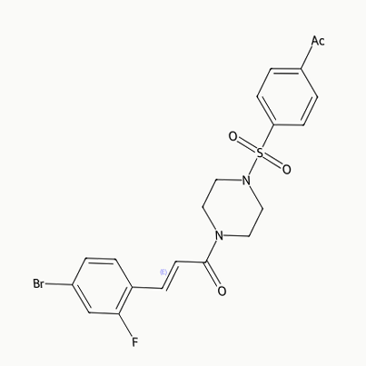 CC(=O)c1ccc(S(=O)(=O)N2CCN(C(=O)/C=C/c3ccc(Br)cc3F)CC2)cc1